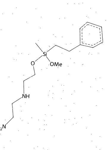 CO[Si](C)(CCc1ccccc1)OCCNCCN